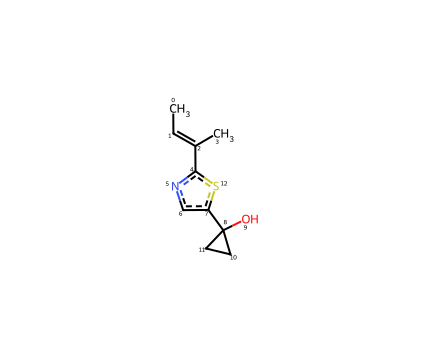 C/C=C(\C)c1ncc(C2(O)CC2)s1